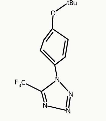 CC(C)(C)Oc1ccc(-n2nnnc2C(F)(F)F)cc1